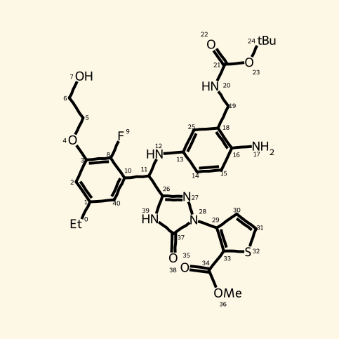 CCc1cc(OCCO)c(F)c(C(Nc2ccc(N)c(CNC(=O)OC(C)(C)C)c2)c2nn(-c3ccsc3C(=O)OC)c(=O)[nH]2)c1